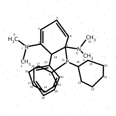 CN(C)C1=CC=CC(N(C)C)(P(C2CCCCC2)C2CCCCC2)C1c1ccccc1